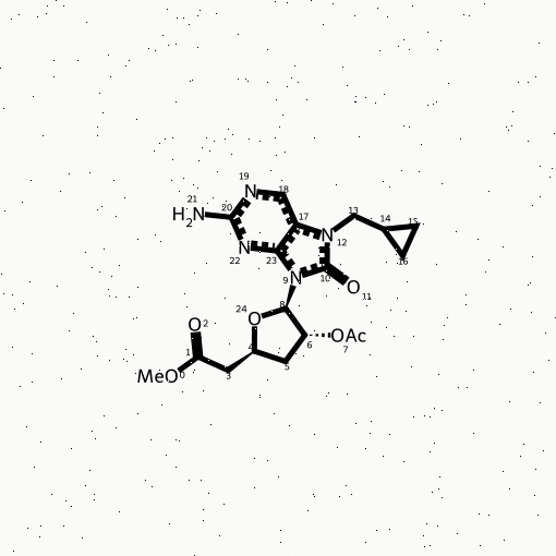 COC(=O)C[C@@H]1C[C@@H](OC(C)=O)[C@H](n2c(=O)n(CC3CC3)c3cnc(N)nc32)O1